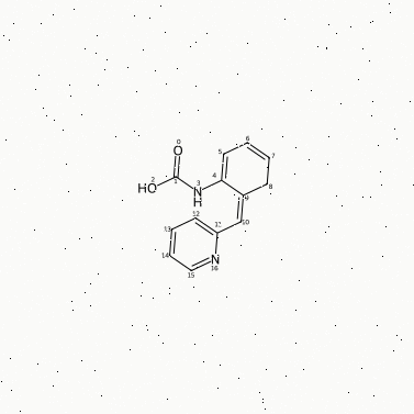 O=C(O)NC1=CC=CCC1=Cc1ccccn1